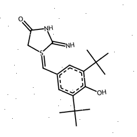 CC(C)(C)c1cc(/C=S2/CC(=O)NC2=N)cc(C(C)(C)C)c1O